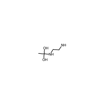 CC(O)(O)NCC[NH]